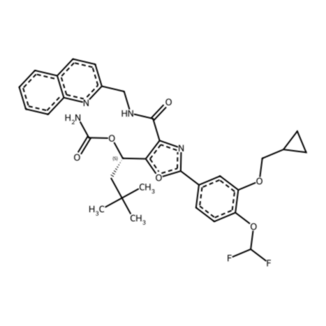 CC(C)(C)C[C@H](OC(N)=O)c1oc(-c2ccc(OC(F)F)c(OCC3CC3)c2)nc1C(=O)NCc1ccc2ccccc2n1